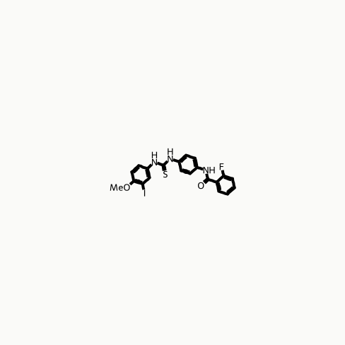 COc1ccc(NC(=S)Nc2ccc(NC(=O)c3ccccc3F)cc2)cc1I